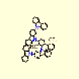 N#Cc1c(-n2c3ccccc3c3ccc(-n4c5ccccc5c5ccccc54)cc32)ccc(-c2c(C(F)(F)F)cccc2C(F)(F)F)c1-n1c2ccccc2c2ccc(-n3c4ccccc4c4ccccc43)cc21